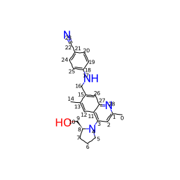 Cc1cc(N2CCC[C@H]2CO)c2cc(C)c(CNc3ccc(C#N)cc3)cc2n1